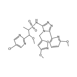 COc1cc(Cn2c(NS(=O)(=O)C(C)C(OC)c3ncc(Cl)cn3)nnc2-c2cccc(OC)n2)on1